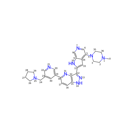 CN1CCN(c2cncc3[nH]c(-c4n[nH]c5ccc(-c6cncc(CN7CCCC7)c6)nc45)cc23)CC1